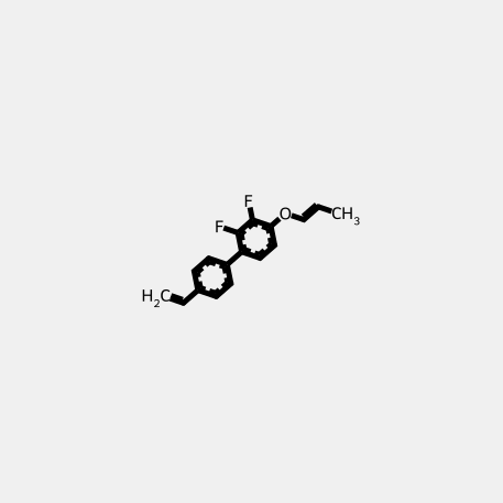 C=Cc1ccc(-c2ccc(O/C=C/C)c(F)c2F)cc1